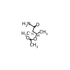 CC(=O)O[C@H](C)[C@H](C)C(N)=O